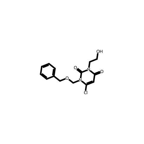 O=c1cc(Cl)n(COCc2ccccc2)c(=O)n1CCO